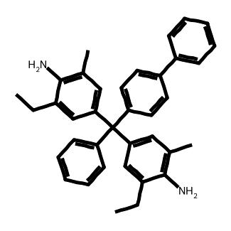 CCc1cc(C(c2ccccc2)(c2ccc(-c3ccccc3)cc2)c2cc(C)c(N)c(CC)c2)cc(C)c1N